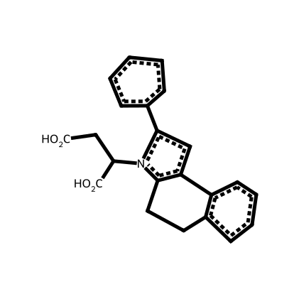 O=C(O)CC(C(=O)O)n1c(-c2ccccc2)cc2c1CCc1ccccc1-2